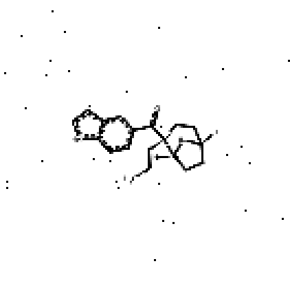 CCC[C@@]1(C(=O)c2ccc3[nH]ccc3c2)CC[C@@H]2CC[C@H]1N2